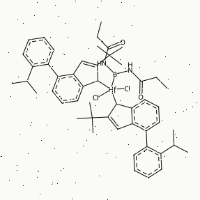 CCC(=O)N[B](NC(=O)CC)[Hf]([Cl])([Cl])([CH]1C(C(C)(C)C)=Cc2c(-c3ccccc3C(C)C)cccc21)[CH]1C(C(C)(C)C)=Cc2c(-c3ccccc3C(C)C)cccc21